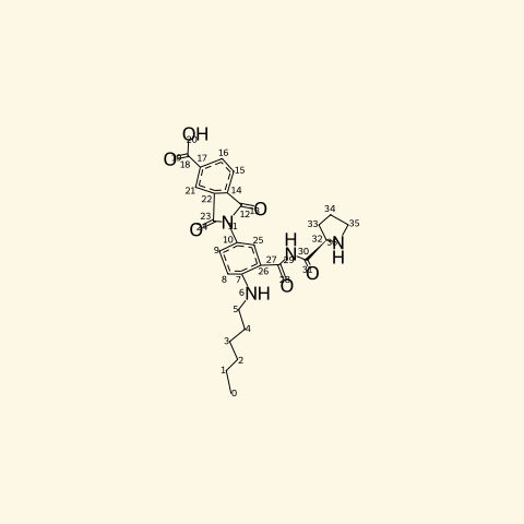 CCCCCCNc1ccc(N2C(=O)c3ccc(C(=O)O)cc3C2=O)cc1C(=O)NC(=O)[C@H]1CCCN1